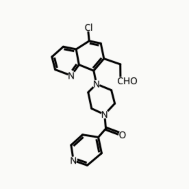 O=CCc1cc(Cl)c2cccnc2c1N1CCN(C(=O)c2ccncc2)CC1